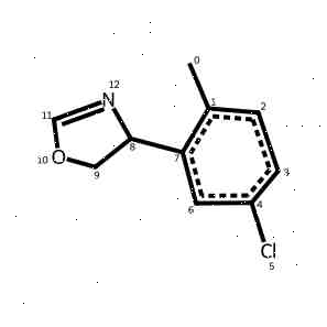 Cc1ccc(Cl)cc1C1CO[C]=N1